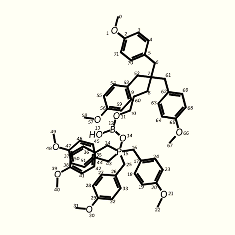 COc1ccc(CC(CCCOB(O)OP(Cc2ccc(OC)cc2)(Cc2ccc(OC)cc2)(Cc2ccc(OC)cc2)Cc2ccc(OC)cc2)(Cc2ccc(OC)cc2)Cc2ccc(OC)cc2)cc1